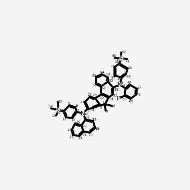 CC1(C)c2cc(N(c3ccc([Si](C)(C)C)cc3)c3cccc4ccccc34)ccc2-c2c1cc(N(c1ccc([Si](C)(C)C)cc1)c1ccccc1F)c1ccccc21